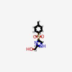 Cc1ccc(S(=O)(=O)c2c[nH]c(CO)n2)cc1